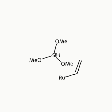 C=[CH][Ru].CO[SiH](OC)OC